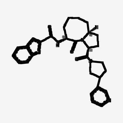 O=C(N[C@H]1CCCC[C@H]2CC[C@@H](C(=O)N3CCC(c4cccnc4)C3)N2C1=O)c1cc2ccccc2s1